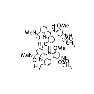 CNC(=O)c1cccc2c(Nc3ccc(NS(C)(=O)=O)cc3OC)c3cccc(C)c3nc12.CNC(=O)c1cccc2c(Nc3ccc(NS(C)(=O)=O)cc3OC)c3cccc(C)c3nc12